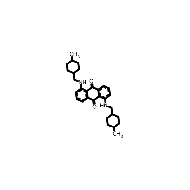 CC1CCC(CNc2cccc3c2C(=O)c2cccc(NCC4CCC(C)CC4)c2C3=O)CC1